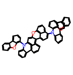 c1ccc(-c2ccccc2N(c2ccc3c(c2)Oc2cccc4c(N(c5ccccc5-c5ccccc5)c5cccc6c5oc5ccccc56)ccc-3c24)c2cccc3c2oc2ccccc23)cc1